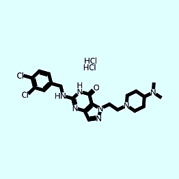 CN(C)C1CCN(CCn2ncc3nc(NCc4ccc(Cl)c(Cl)c4)[nH]c(=O)c32)CC1.Cl.Cl